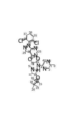 Cc1cnc(NC(=O)[C@H](CN2CC(O[Si](C)(C)C(C)(C)C)C2)Oc2ncnc3c2cnn3-c2c(Cl)cccc2Cl)cn1